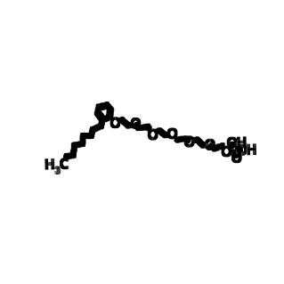 CCCCCCCCCc1ccccc1OCCOCCOCCOCCOCCOCCOP(=O)(O)O